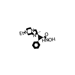 CCN1CCN2C[C@@](C)([C@H]3[C@H](C(=O)NO)[C@@H]3c3ccccc3)N=C2C1